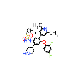 CCS(=O)(=O)Nc1cc(-c2cc(C)nc(C)c2)c(Oc2ccc(F)cc2F)cc1C1CCNCC1